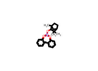 CC12CCC(C1)C(C)(C)C2Op1oc2ccccc2c2ccccc2o1